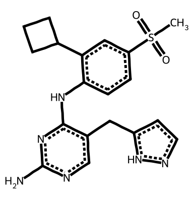 CS(=O)(=O)c1ccc(Nc2nc(N)ncc2Cc2ccn[nH]2)c(C2CCC2)c1